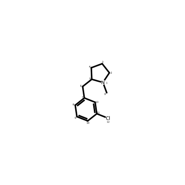 CN1CCCC1Cc1cccc(Cl)c1